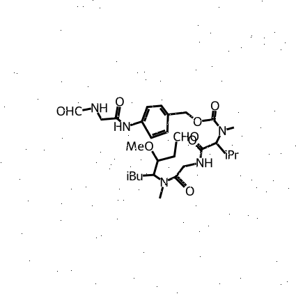 CCC(C)C(C(CC=O)OC)N(C)C(=O)CNC(=O)C(C(C)C)N(C)C(=O)OCc1ccc(NC(=O)CNC=O)cc1